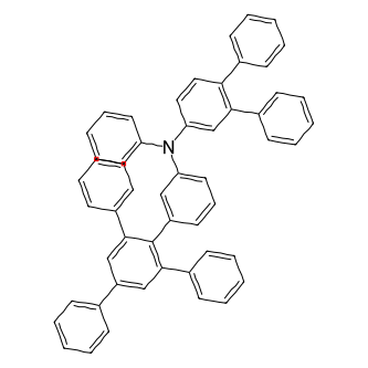 c1ccc(-c2cc(-c3ccccc3)c(-c3cccc(N(c4ccccc4)c4ccc(-c5ccccc5)c(-c5ccccc5)c4)c3)c(-c3ccccc3)c2)cc1